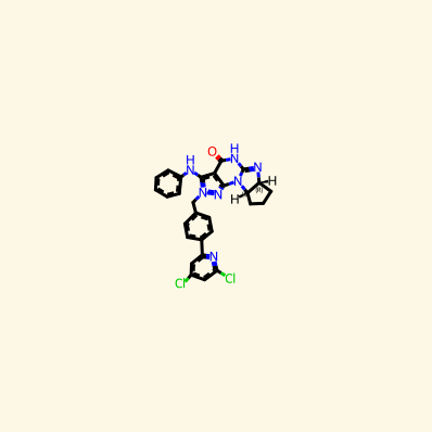 O=C1NC2=N[C@@H]3CCC[C@@H]3N2c2nn(Cc3ccc(-c4cc(Cl)cc(Cl)n4)cc3)c(Nc3ccccc3)c21